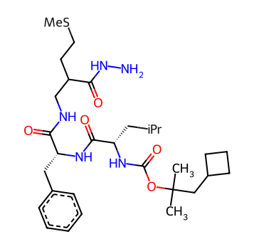 CSCCC(CNC(=O)[C@@H](Cc1ccccc1)NC(=O)[C@H](CC(C)C)NC(=O)OC(C)(C)CC1CCC1)C(=O)NN